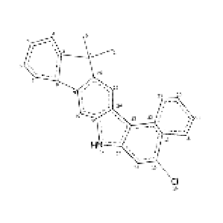 CC1(C)c2ccccc2-c2cc3[nH]c4cc(Cl)c5ccccc5c4c3cc21